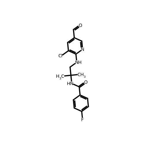 CC(C)(CNc1ncc(C=O)cc1Cl)NC(=O)c1ccc(F)cc1